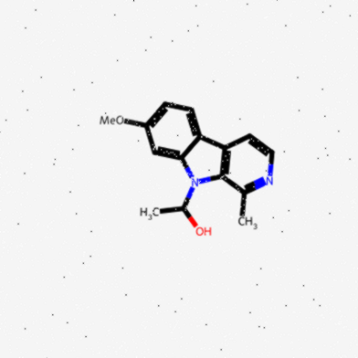 COc1ccc2c3ccnc(C)c3n(C(C)O)c2c1